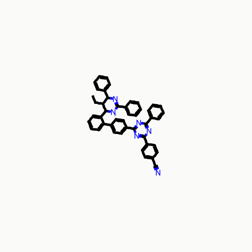 CCC1C(c2ccccc2)N=C(c2ccccc2)N(C)C1c1ccccc1-c1ccc(-c2nc(-c3ccccc3)nc(-c3ccc(C#N)cc3)n2)cc1